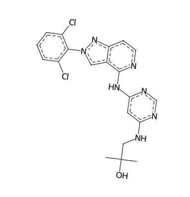 CC(C)(O)CNc1cc(Nc2nccc3nn(-c4c(Cl)cccc4Cl)cc23)ncn1